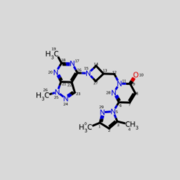 Cc1cc(C)n(-c2ccc(=O)n(CC3CN(c4nc(C)nc5c4cnn5C)C3)n2)n1